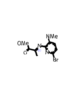 CNc1ccc(Br)nc1/N=C(\C)C(=O)OC